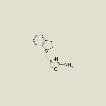 NC1=N[C@@H](CN2CCc3ccccc32)CO1